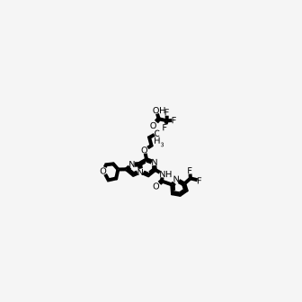 CCCOc1nc(NC(=O)c2cccc(C(F)F)n2)cn2cc(C3CCOCC3)nc12.O=C(O)C(F)(F)F